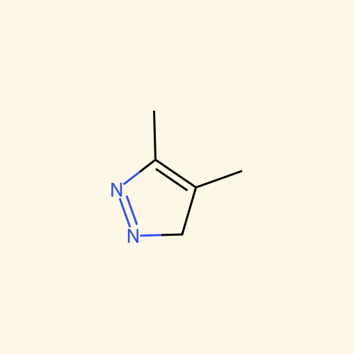 CC1=C(C)N=NC1